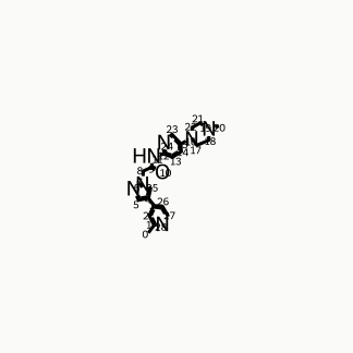 Cc1cc(-c2cnn(CC(=O)Nc3ccc(N4CCN(C)CC4)cn3)c2)ccn1